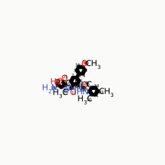 COc1ccc(-c2ccc(C(=O)N(C)[C@@](C)(CC(N)=O)C(=O)O)c(NC(=O)Nc3c(C)cc(C)cc3C)c2)cc1